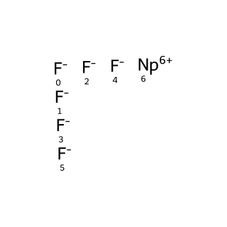 [F-].[F-].[F-].[F-].[F-].[F-].[Np+6]